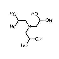 OC(O)CN(CC(O)O)CC(O)O